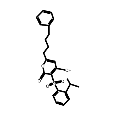 CC(C)c1ccccc1S(=O)(=O)c1c(O)cc(CCCCc2ccccc2)oc1=O